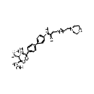 C[C@@H](O)[C@H](NC(=O)c1ccc(-c2ccc(NC(=O)CNCCCN3CCOCC3)cc2)cc1)C(=O)NO